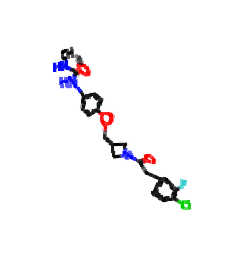 CNC(=O)Nc1ccc(OCC2CN(C(=O)Cc3ccc(Cl)c(F)c3)C2)cc1